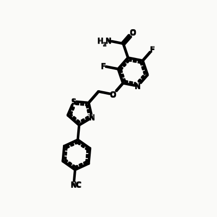 [C-]#[N+]c1ccc(-c2csc(COc3ncc(F)c(C(N)=O)c3F)n2)cc1